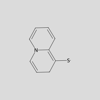 [S]C1=C2C=CC=CN2C=CC1